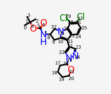 CC(C)(C)OC(=O)NC1Cc2c(-c3cnn(C4CCCCO4)c3)c3ccc(Cl)c(Cl)c3n2C1